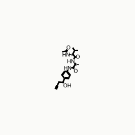 C#CCC(O)c1ccc(NC(=O)[C@H](C)NC(=O)[C@@H](NC(C)=O)C(C)C)cc1